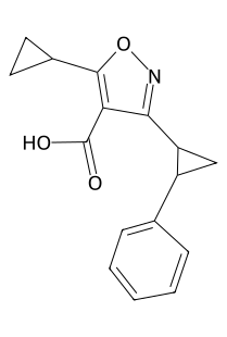 O=C(O)c1c(C2CC2c2ccccc2)noc1C1CC1